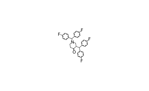 O=C1CCN(C(c2ccc(F)cc2)c2ccc(F)cc2)CC1C(c1ccc(F)cc1)c1ccc(F)cc1